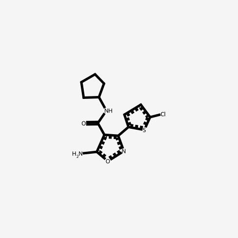 Nc1onc(-c2ccc(Cl)s2)c1C(=O)NC1CCCC1